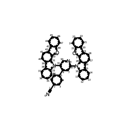 N#Cc1ccc(-c2cc(-n3c4ccccc4c4ccc5c6ccccc6oc5c43)ncc2-n2c3ccccc3c3ccc4c5ccccc5oc4c32)cc1